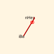 CCCCCC/C=C\CCCCCCCC(=O)OCCCCCCCCCCCCCCCCCCCCCCCCCCCCCCCC(C)CC